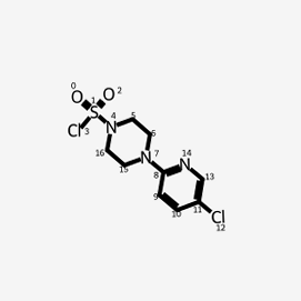 O=S(=O)(Cl)N1CCN(c2ccc(Cl)cn2)CC1